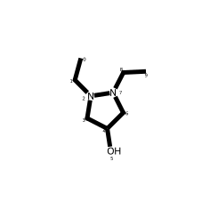 CCN1CC(O)CN1CC